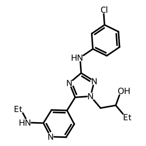 CCNc1cc(-c2nc(Nc3cccc(Cl)c3)nn2CC(O)CC)ccn1